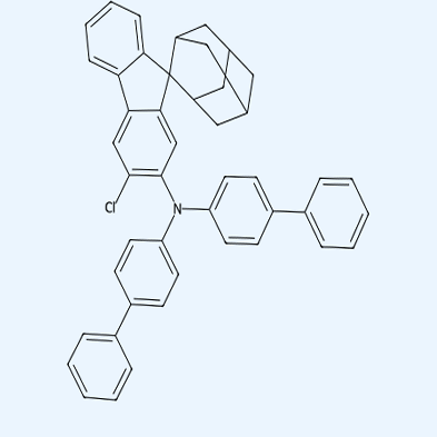 Clc1cc2c(cc1N(c1ccc(-c3ccccc3)cc1)c1ccc(-c3ccccc3)cc1)C1(c3ccccc3-2)C2CC3CC(C2)CC1C3